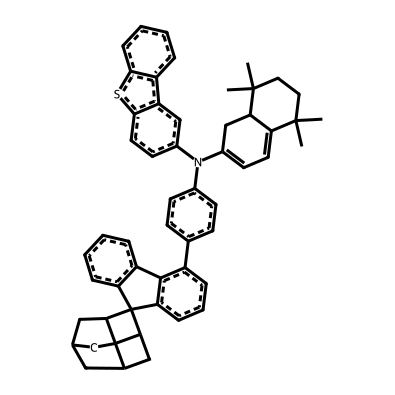 CC1(C)CCC(C)(C)C2CC(N(c3ccc(-c4cccc5c4-c4ccccc4C54C5CC6CC7CC4C75C6)cc3)c3ccc4sc5ccccc5c4c3)=CC=C21